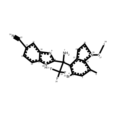 Cc1cc(Br)c(C(N)(c2nc3cc(C#N)ccc3[nH]2)C(F)(F)F)c2ccn(SI)c12